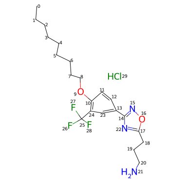 CCCCCCCCCOc1ccc(-c2noc(CCCN)n2)cc1C(F)(F)F.Cl